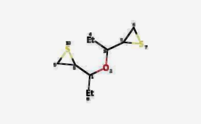 CCC(OC(CC)C1CS1)C1CS1